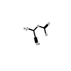 C#CC(C)OC(=O)Cl